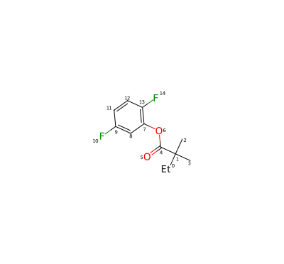 CCC(C)(C)C(=O)Oc1cc(F)ccc1F